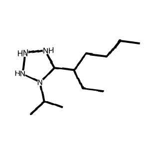 CCCCC(CC)C1NNNN1C(C)C